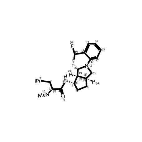 CN[C@@H](CC(C)C)C(=O)N[C@H]1CC[C@@H]2CN(c3ccccc3C(F)F)C[C@@H]21